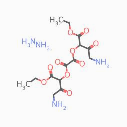 CCOC(=O)C(OC(=O)C(=O)OC(C(=O)CN)C(=O)OCC)C(=O)CN.N.N